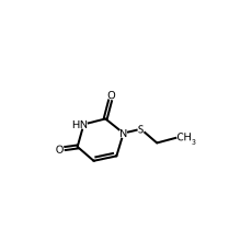 CCSn1ccc(=O)[nH]c1=O